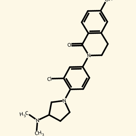 CN(C)C1CCN(c2ccc(N3CCc4cc(O)ccc4C3=O)cc2Cl)C1